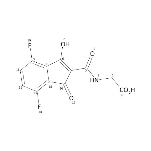 O=C(O)CNC(=O)C1=C(O)c2c(F)ccc(F)c2C1=O